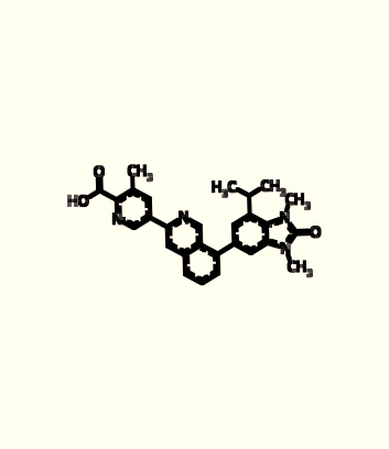 Cc1cc(-c2cc3cccc(-c4cc(C(C)C)c5c(c4)n(C)c(=O)n5C)c3cn2)cnc1C(=O)O